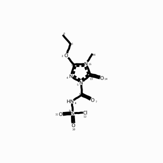 CCOc1nn(C(=O)NS(=O)(=O)Cl)c(=O)n1C